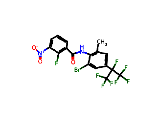 Cc1cc(C(F)(C(F)(F)F)C(F)(F)F)cc(Br)c1NC(=O)c1cccc([N+](=O)[O-])c1F